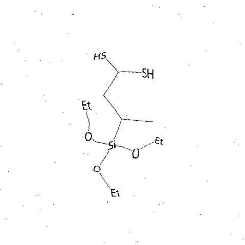 CCO[Si](OCC)(OCC)C(C)CC(S)S